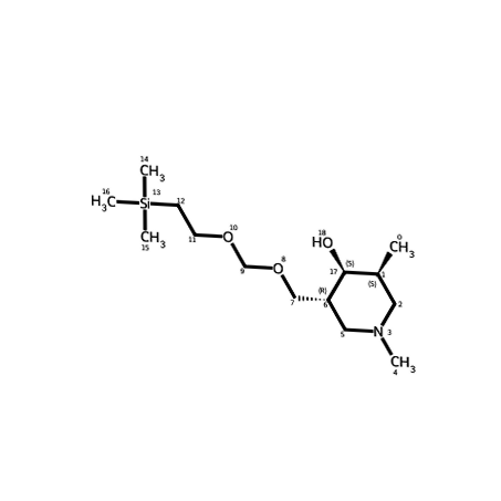 C[C@H]1CN(C)C[C@H](COCOCC[Si](C)(C)C)[C@H]1O